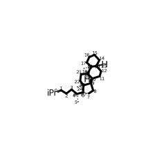 CC(C)CCC[C@@H](C)[C@H]1CCC2=C3CC[C@H]4CCCC[C@]4(C)[C@H]3CC[C@@]21C